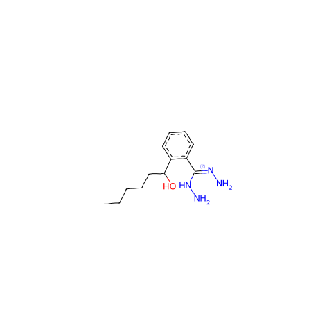 CCCCCC(O)c1ccccc1/C(=N/N)NN